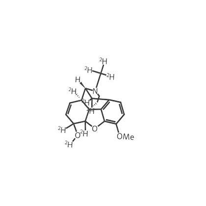 [2H]OC1([2H])C=C[C@@]2([2H])[C@@H]3N(C([2H])([2H])[2H])CC[C@@]24c2c(ccc(OC)c2OC14[2H])C3([2H])[2H]